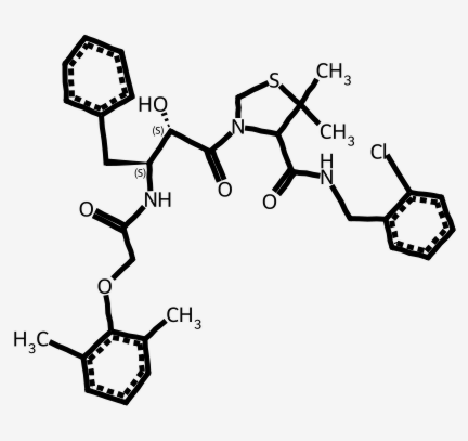 Cc1cccc(C)c1OCC(=O)N[C@@H](Cc1ccccc1)[C@H](O)C(=O)N1CSC(C)(C)C1C(=O)NCc1ccccc1Cl